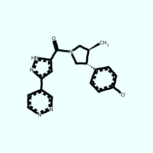 C[C@@H]1CN(C(=O)c2cc(-c3ccnnc3)n[nH]2)C[C@H]1c1ccc(Cl)cc1